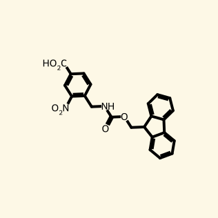 O=C(NCc1ccc(C(=O)O)cc1[N+](=O)[O-])OCC1c2ccccc2-c2ccccc21